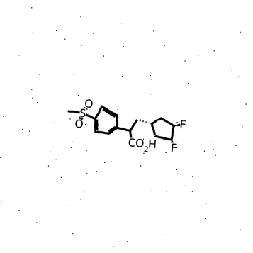 CS(=O)(=O)c1ccc(C(C[C@@H]2C[C@@H](F)[C@@H](F)C2)C(=O)O)cc1